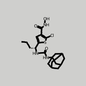 CCC[C@@H](NC(=O)NC12CC3CC(CC(C3)C1)C2)c1cc(C(=O)NO)c(Cl)s1